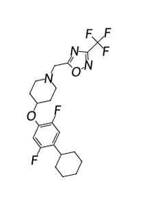 Fc1cc(C2CCCCC2)c(F)cc1OC1CCN(Cc2nc(C(F)(F)F)no2)CC1